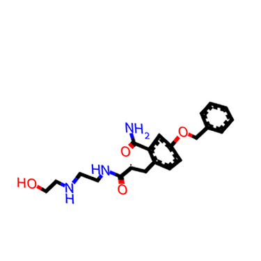 NC(=O)c1cc(OCc2ccccc2)ccc1C[CH]C(=O)NCCNCCO